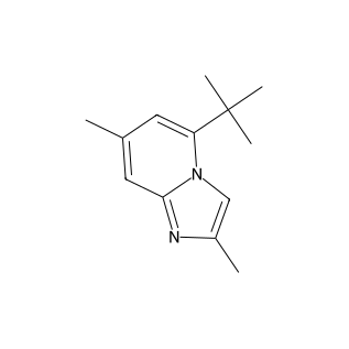 Cc1cc(C(C)(C)C)n2cc(C)nc2c1